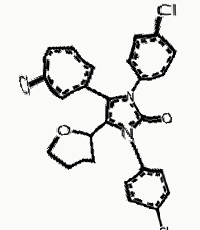 O=c1n(-c2ccc(Cl)cc2)c(-c2cccc(Cl)c2)c(C2CCCO2)n1-c1ccc(Cl)cc1